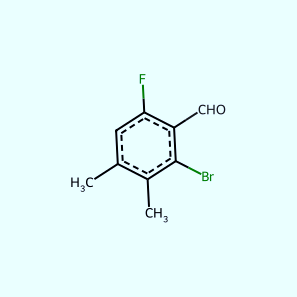 Cc1cc(F)c(C=O)c(Br)c1C